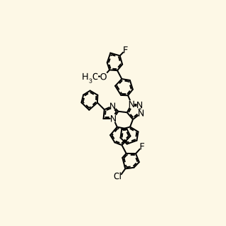 COc1ccc(F)cc1-c1ccc(-n2nnc(-c3ccccc3)c2-c2nc(-c3ccccc3)cn2-c2ccc(-c3cc(Cl)ccc3F)cc2)cc1